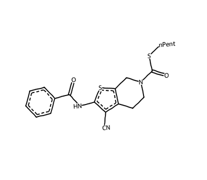 CCCCCSC(=O)N1CCc2c(sc(NC(=O)c3ccccc3)c2C#N)C1